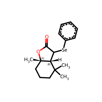 CC1(C)CCC[C@]2(C)OC(=O)C([Se]c3ccccc3)[C@H]12